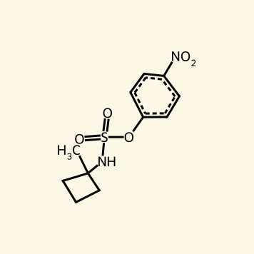 CC1(NS(=O)(=O)Oc2ccc([N+](=O)[O-])cc2)CCC1